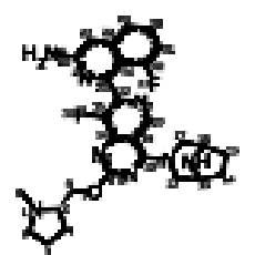 CN1CCC[C@H]1COc1nc(N2CC3CCC(C2)N3)c2cnc(-c3nc(N)cc4cccc(F)c34)c(F)c2n1